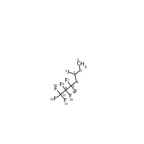 CCC(I)CC(F)(F)C(F)(F)C(F)(F)F